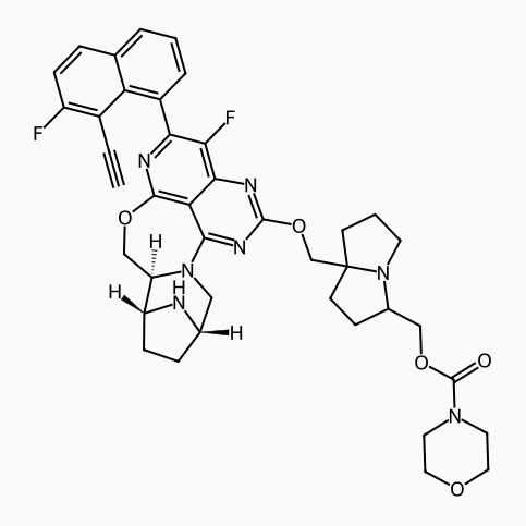 C#Cc1c(F)ccc2cccc(-c3nc4c5c(nc(OCC67CCCN6C(COC(=O)N6CCOCC6)CC7)nc5c3F)N3C[C@@H]5CC[C@@H](N5)[C@H]3CO4)c12